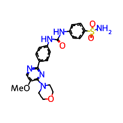 COc1cnc(-c2ccc(NC(=O)Nc3ccc(S(N)(=O)=O)cc3)cc2)nc1N1CCOCC1